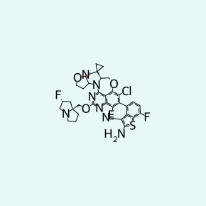 N#Cc1c(N)sc2c(F)ccc(-c3c(Cl)c4c5c(nc(OC[C@@]67CCCN6C[C@H](F)C7)nc5c3F)N(C3CCOC3)[C@@H](C3(C#N)CC3)CO4)c12